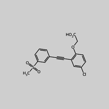 CS(=O)(=O)c1cccc(C#Cc2cc(Cl)ccc2OCC(=O)O)c1